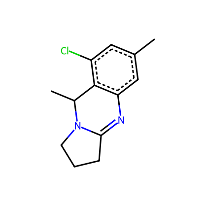 Cc1cc(Cl)c2c(c1)N=C1CCCN1C2C